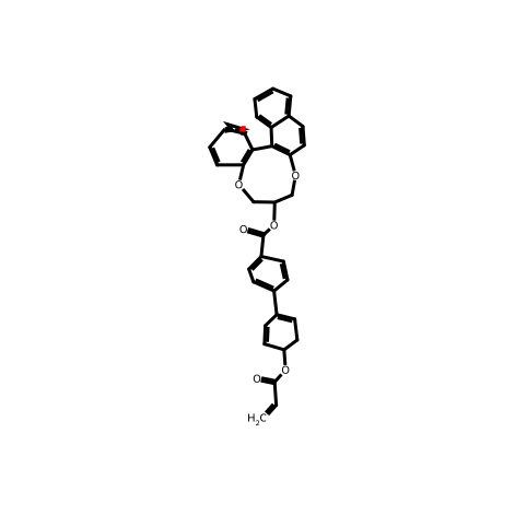 C=CC(=O)OC1C=CC(c2ccc(C(=O)OC3COc4ccc5ccccc5c4-c4c(ccc5ccccc45)OC3)cc2)=CC1